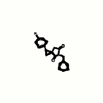 O=C1C[C@]2(C[C@H]2c2ccc(F)cc2)C(=O)N1Cc1ccccc1